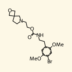 COc1cc(CCNC(=O)OCCN2CCC3(COC3)C2)c(OC)cc1Br